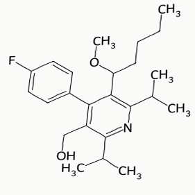 CCCCC(OC)c1c(C(C)C)nc(C(C)C)c(CO)c1-c1ccc(F)cc1